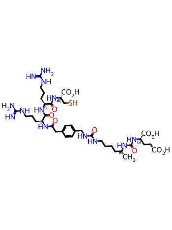 C[C@H](CCCCNC(=O)NCc1ccc(CC(=O)N[C@@H](CCCNC(=N)N)C(=O)N[C@@H](CCCNC(=N)N)C(=O)N[C@@H](CS)C(=O)O)cc1)NC(=O)N[C@@H](CCC(=O)O)C(=O)O